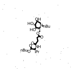 CCCCOC(=O)[C@@H](NC(=O)CCC(=O)OC[C@@H]1[C@@H](O)[C@H](O)[C@@H](O)CN1CCCC)C(C)C